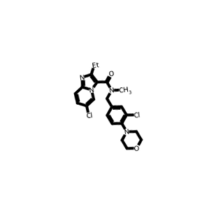 CCc1nc2ccc(Cl)cn2c1C(=O)N(C)Cc1ccc(N2CCOCC2)c(Cl)c1